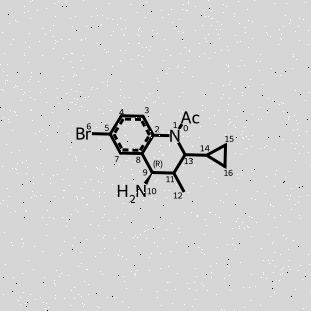 CC(=O)N1c2ccc(Br)cc2[C@H](N)C(C)C1C1CC1